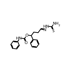 NC(=S)NN=CCCC(OC(=O)Nc1ccccc1)c1ccccc1